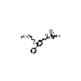 COCCCOc1cc(CCC(=O)NC(=N)N)ccc1-c1ccccc1